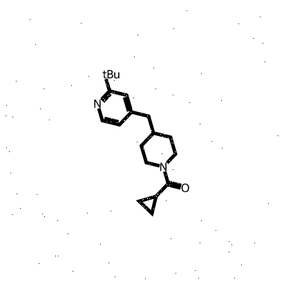 CC(C)(C)c1cc(CC2CCN(C(=O)C3CC3)CC2)ccn1